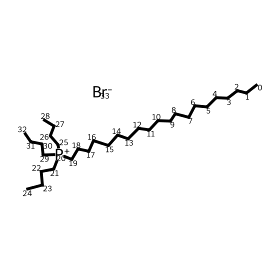 CCCCCCCCCCCCCCCCCCCC[P+](CCCC)(CCCC)CCCC.[Br-]